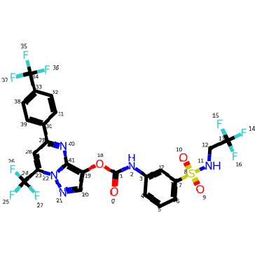 O=C(Nc1cccc(S(=O)(=O)NCC(F)(F)F)c1)Oc1cnn2c(C(F)(F)F)cc(-c3ccc(C(F)(F)F)cc3)nc12